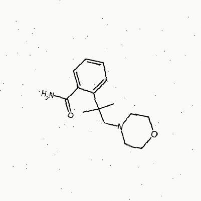 CC(C)(CN1CCOCC1)c1ccccc1C(N)=O